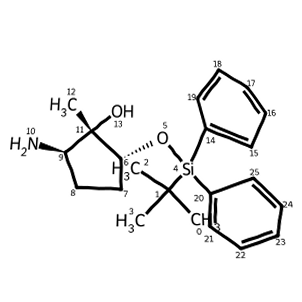 CC(C)(C)[Si](O[C@@H]1CC[C@@H](N)[C@]1(C)O)(c1ccccc1)c1ccccc1